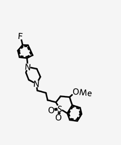 COC1CC(CCCN2CCN(c3ccc(F)cc3)CC2)S(=O)(=O)c2ccccc21